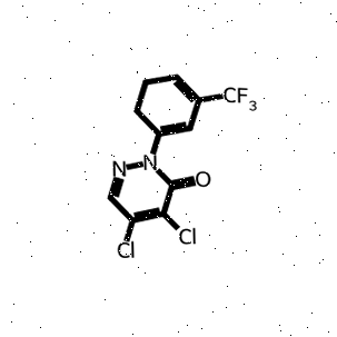 O=c1c(Cl)c(Cl)cnn1C1=CC(C(F)(F)F)=CCC1